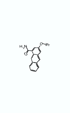 CC(C)Oc1cc(C(N)=O)c2cc3ccccc3cc2c1